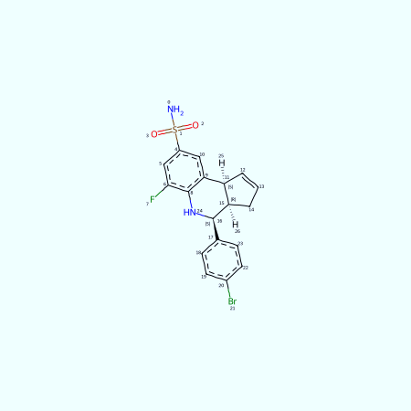 NS(=O)(=O)c1cc(F)c2c(c1)[C@H]1C=CC[C@H]1[C@@H](c1ccc(Br)cc1)N2